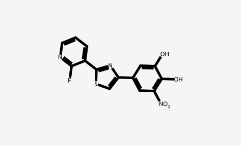 O=[N+]([O-])c1cc(-c2csc(-c3cccnc3F)n2)cc(O)c1O